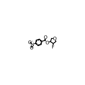 O=C(OC1COCC1F)c1ccc([N+](=O)[O-])cc1